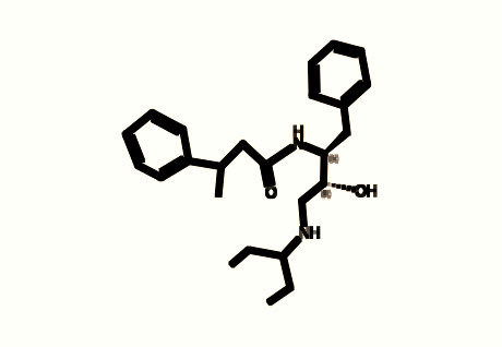 CCC(CC)NC[C@@H](O)[C@H](Cc1ccccc1)NC(=O)CC(C)c1ccccc1